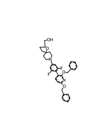 OCC1CCC2(CCN(c3cc(F)c(-c4ccc(OCc5ccccc5)nc4OCc4ccccc4)c(F)c3)CC2)O1